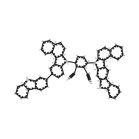 N#Cc1c(-n2c3ccc(-c4ccc5c(c4)oc4ccccc45)cc3c3c4ccccc4ccc32)ccc(-n2c3cc4oc5ccccc5c4cc3c3c4ccccc4ccc32)c1C#N